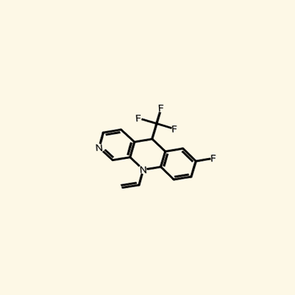 C=CN1c2ccc(F)cc2C(C(F)(F)F)c2ccncc21